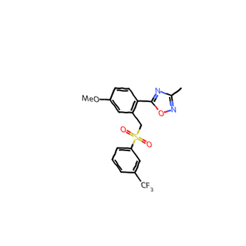 COc1ccc(-c2nc(C)no2)c(CS(=O)(=O)c2cccc(C(F)(F)F)c2)c1